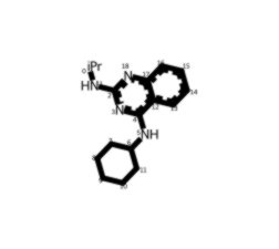 CC(C)Nc1nc(NC2CCCCC2)c2ccccc2n1